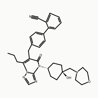 CCCc1c(Cc2ccc(-c3ccccc3C#N)cc2)c(=O)n([C@H]2CC[C@@](O)(CN3CCOCC3)CC2)c2ncnn12